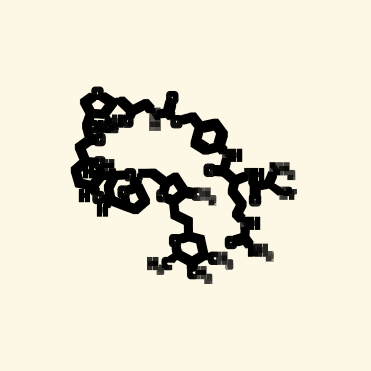 C=C1CC(CC[C@]23CCC(O2)[C@H]2C[C@@H](O3)[C@H]3OC(CC(=O)CC4CO[C@H](CC(O)CNC(=O)OCc5ccc(NC(=O)C(CCCNC(N)=O)NC(=O)[C@@H](N)C(C)C)cc5)[C@@H]4OC)CC[C@@H]3O2)OC1CCC1C[C@@H](C)C(=C)[C@@H](C)O1